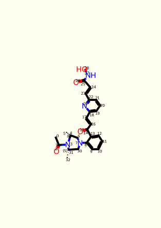 CC(=O)N1[C@H](C)CN(c2ccccc2C(=O)C=Cc2cccc(C=CC(=O)NO)n2)C[C@@H]1C